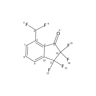 O=C1c2c(C(F)F)[c]ccc2C(F)(F)C1(F)F